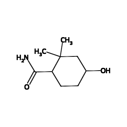 CC1(C)CC(O)CCC1C(N)=O